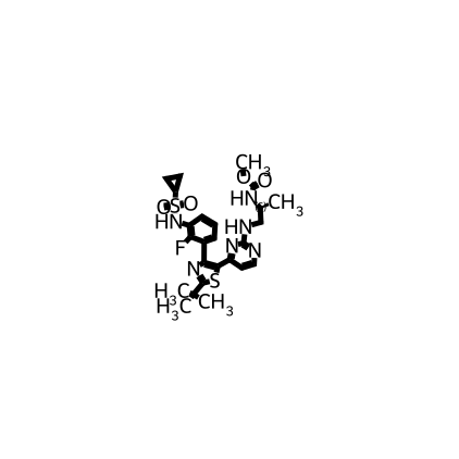 COC(=O)N[C@@H](C)CNc1nccc(-c2sc(C(C)(C)C)nc2-c2cccc(NS(=O)(=O)C3CC3)c2F)n1